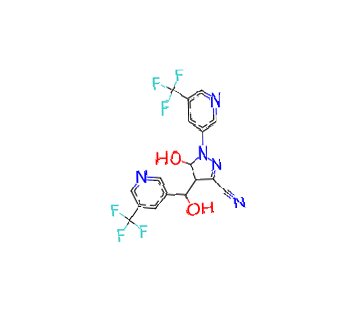 N#CC1=NN(c2cncc(C(F)(F)F)c2)C(O)C1C(O)c1cncc(C(F)(F)F)c1